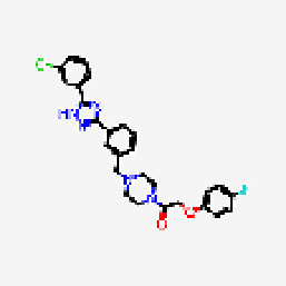 O=C(COc1ccc(F)cc1)N1CCN(Cc2cccc(-c3n[nH]c(-c4cccc(Cl)c4)n3)c2)CC1